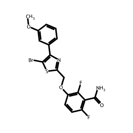 COc1cccc(-c2nc(COc3ccc(F)c(C(N)=O)c3F)sc2Br)c1